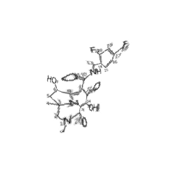 CN1CC2(C)CC(O)c3c(C(=O)NCc4ccc(F)cc4F)c(=O)c(O)c(n32)C1=O